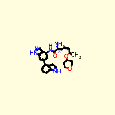 C=C(/C=C\C=C(/N)C(=O)Nc1cc(-c2cccc3[nH]ccc23)cc2[nH]ncc12)OC1CCOCC1